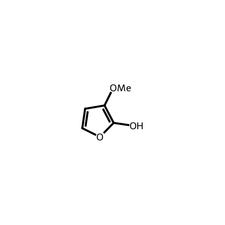 COc1ccoc1O